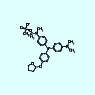 CN(C)c1ccc([S+](c2ccc(OC3CCCO3)cc2)c2ccc(N(C)C)cc2)cc1.CS(=O)(=O)[O-]